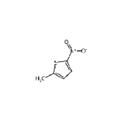 [CH2]c1ccc([N+](=O)[O-])s1